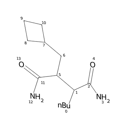 CCCCC(C(N)=O)C(CC1CCC1)C(N)=O